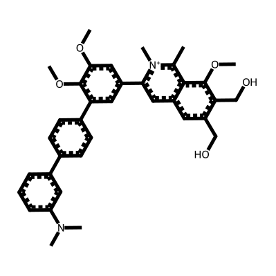 COc1cc(-c2cc3cc(CO)c(CO)c(OC)c3c(C)[n+]2C)cc(-c2ccc(-c3cccc(N(C)C)c3)cc2)c1OC